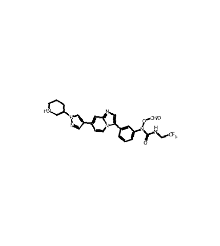 O=CON(C(=O)NCC(F)(F)F)c1cccc(-c2cnc3cc(-c4cnn(C5CCCNC5)c4)ccn23)c1